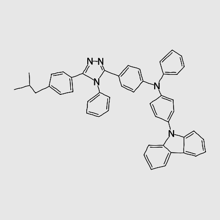 CC(C)Cc1ccc(-c2nnc(-c3ccc(N(c4ccccc4)c4ccc(-n5c6ccccc6c6ccccc65)cc4)cc3)n2-c2ccccc2)cc1